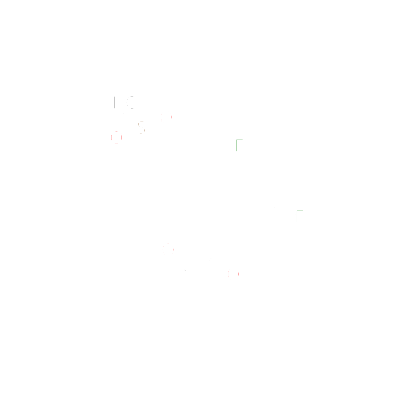 CS(=O)(=O)c1ccc(C2=C(c3cc(F)cc(F)c3)C(=O)C3(CCCC3)O2)cc1